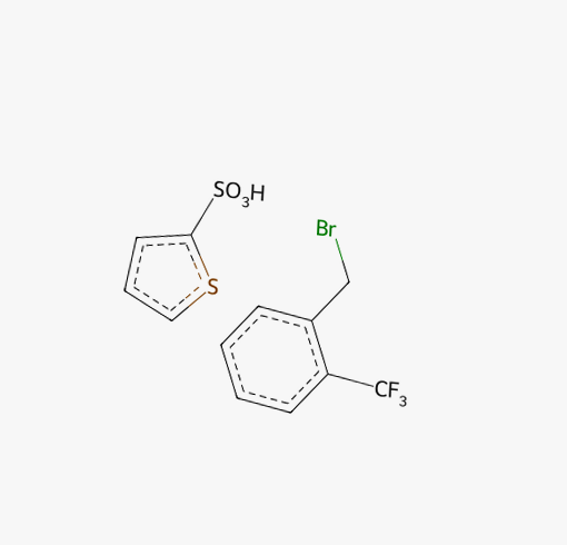 FC(F)(F)c1ccccc1CBr.O=S(=O)(O)c1cccs1